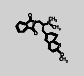 COc1ccc2cc(C[C@@H](CN3C(=O)c4ccccc4C3=O)N(C)C)ccc2n1